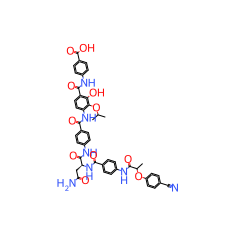 CC(C)Oc1c(NC(=O)c2ccc(NC(=O)[C@H](CC(N)=O)NC(=O)c3ccc(NC(=O)C(C)Oc4ccc(C#N)cc4)cc3)cc2)ccc(C(=O)Nc2ccc(C(=O)O)cc2)c1O